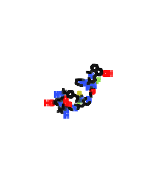 CCc1cccc2cc(O)cc(-c3ncc4c(N5CC6CCC(C5)N6)nc(OCCN5CCC(CC6(F)CN(CC(=O)N[C@H](C(=O)N7C[C@H](O)C[C@H]7C(=O)N[C@@H](C)c7ccc(-c8scnc8C)cc7)C(C)(C)C)C6)CC5)nc4c3F)c12